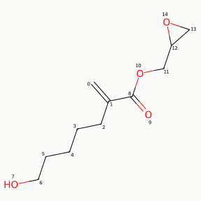 C=C(CCCCCO)C(=O)OCC1CO1